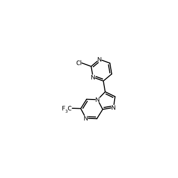 FC(F)(F)c1cn2c(-c3ccnc(Cl)n3)cnc2cn1